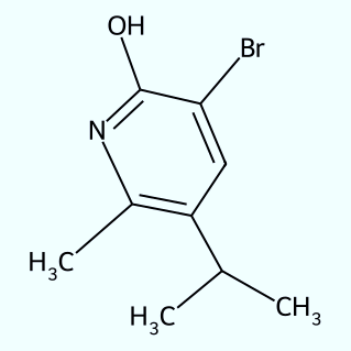 Cc1nc(O)c(Br)cc1C(C)C